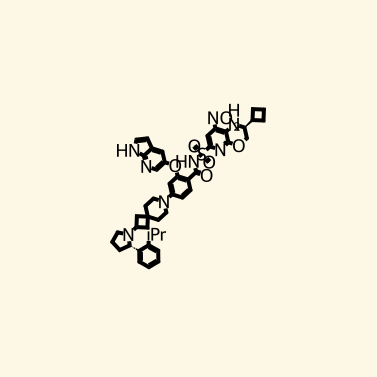 CC(C)c1ccccc1[C@@H]1CCCN1C1CC2(CCN(c3ccc(C(=O)NS(=O)(=O)c4cc([N+](=O)[O-])c5c(n4)OC[C@H](C4CCC4)N5)c(Oc4cnc5[nH]ccc5c4)c3)CC2)C1